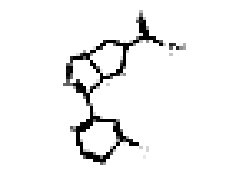 COC(=O)C1CC2ON=C(c3cccc(Cl)c3)C2C1